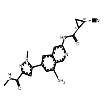 CNC(=O)c1cc(-c2cc(N)c3cnc(NC(=O)[C@H]4C[C@@H]4C#N)cc3c2)n(C)n1